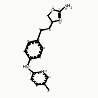 Cc1ccc(Nc2ccc(CCC3COC(N)=N3)cc2)nc1